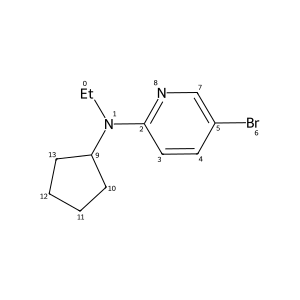 CCN(c1ccc(Br)cn1)C1CCCC1